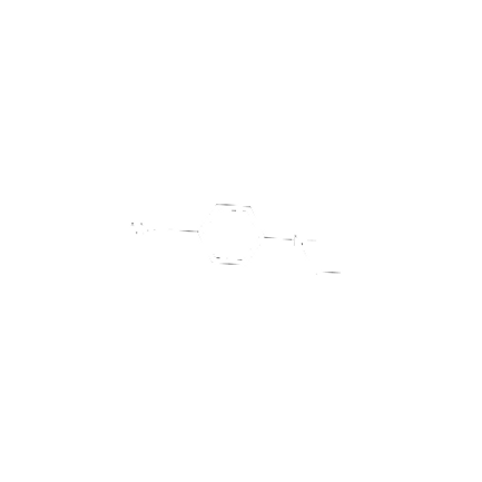 COc1ccc(NSF)cc1